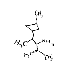 C=C(C)C(N)C(C)C1CC(C)C1